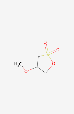 COC1COS(=O)(=O)C1